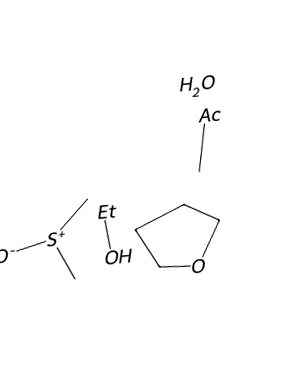 C1CCOC1.CC(C)=O.CCO.C[S+](C)[O-].O